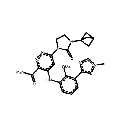 CNC(=O)c1nnc(N2CCN(C34CC(C3)C4)C2=O)cc1Nc1cccc(-c2ncn(C)n2)c1OC